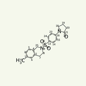 Cc1ccc2c(c1)CCN(S(=O)(=O)c1ccc(N3CCCC3=O)cc1)C2